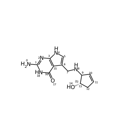 Nc1nc2[nH]cc(CNC3C=CC[C@@H]3O)c2c(=O)[nH]1